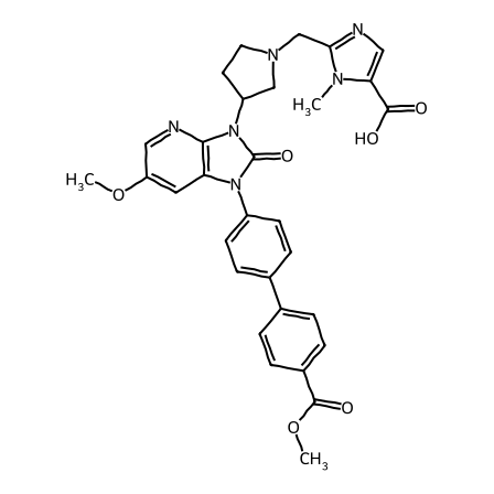 COC(=O)c1ccc(-c2ccc(-n3c(=O)n(C4CCN(Cc5ncc(C(=O)O)n5C)C4)c4ncc(OC)cc43)cc2)cc1